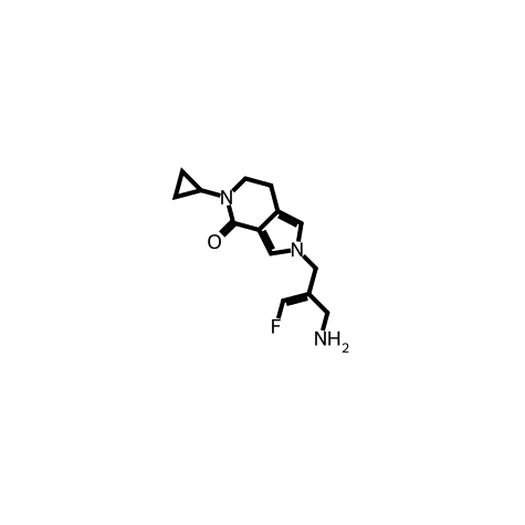 NCC(=CF)Cn1cc2c(c1)C(=O)N(C1CC1)CC2